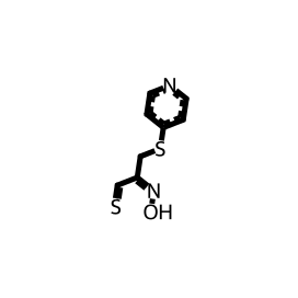 ON=C(C=S)CSc1ccncc1